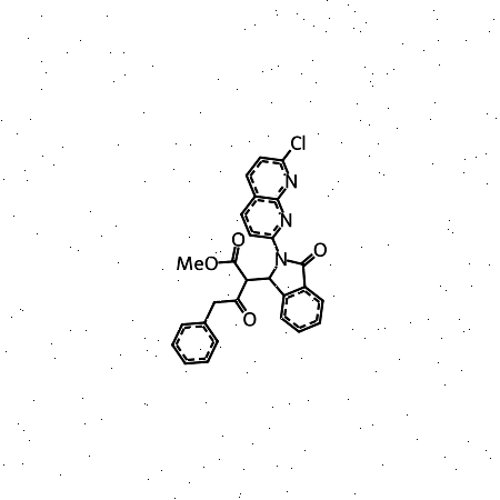 COC(=O)C(C(=O)Cc1ccccc1)C1c2ccccc2C(=O)N1c1ccc2ccc(Cl)nc2n1